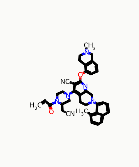 C=CC(=O)N1CCN(c2c(C#N)c(Oc3cccc4c3CCN(C)C4)nc3c2CCN(c2cccc4cccc(C)c24)C3)CC1CC#N